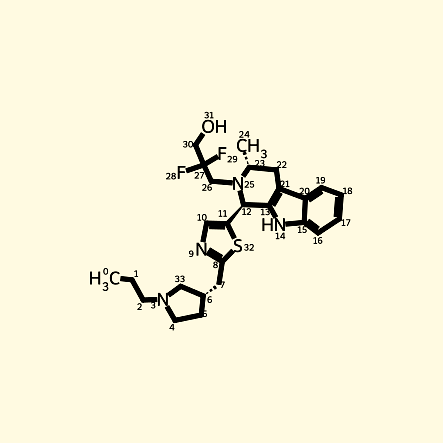 CCCN1CC[C@@H](Cc2ncc([C@@H]3c4[nH]c5ccccc5c4C[C@@H](C)N3CC(F)(F)CO)s2)C1